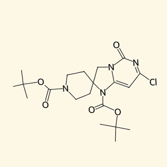 CC(C)(C)OC(=O)N1CCC2(CC1)Cn1c(cc(Cl)nc1=O)N2C(=O)OC(C)(C)C